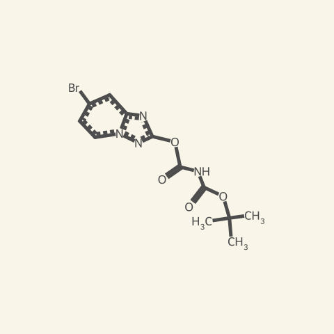 CC(C)(C)OC(=O)NC(=O)Oc1nc2cc(Br)ccn2n1